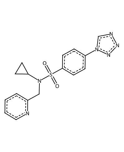 O=S(=O)(c1ccc(-n2cnnn2)cc1)N(Cc1ccccn1)C1CC1